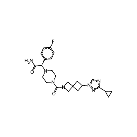 NC(=O)[C@@H](c1ccc(F)cc1)N1CCN(C(=O)N2CC3(CC(n4cnc(C5CC5)n4)C3)C2)CC1